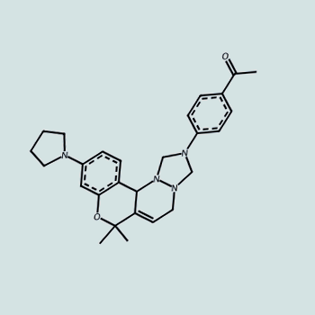 CC(=O)c1ccc(N2CN3CC=C4C(c5ccc(N6CCCC6)cc5OC4(C)C)N3C2)cc1